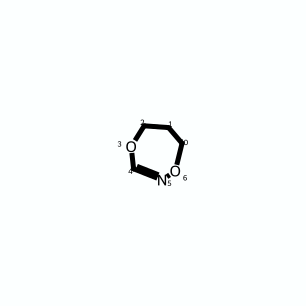 [CH]1CCOC=NO1